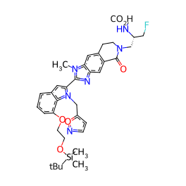 Cn1c(-c2cc3cccc(OCCO[Si](C)(C)C(C)(C)C)c3n2Cc2ccno2)nc2cc3c(cc21)CCN(C[C@@H](CF)NC(=O)O)C3=O